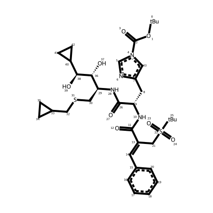 CC(C)(C)OC(=O)n1cnc(C[C@H](NC(=O)C(=Cc2ccccc2)CS(=O)(=O)C(C)(C)C)C(=O)N[C@@H](CSCC2CC2)[C@@H](O)[C@@H](O)C2CC2)c1